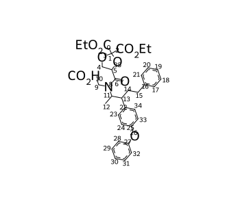 CCOC(=O)C1(C(=O)OCC)OCC(C(=O)N(CC(=O)O)C(C)C(CCc2ccccc2)c2ccc(Oc3ccccc3)cc2)O1